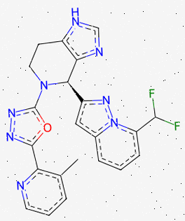 Cc1cccnc1-c1nnc(N2CCc3[nH]cnc3[C@H]2c2cc3cccc(C(F)F)n3n2)o1